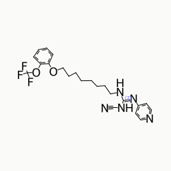 N#CN/C(=N\c1ccncc1)NCCCCCCCCOc1ccccc1OC(F)(F)F